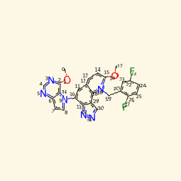 COc1ncnc2ccn(-c3cc4ccc(OC)n(Cc5cc(F)ccc5F)c4c4cnnc34)c12